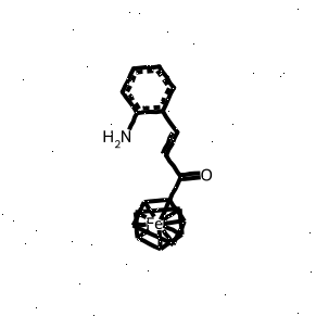 Nc1ccccc1C=CC(=O)[C]12[CH]3[CH]4[CH]5[CH]1[Fe]45321678[CH]2[CH]1[CH]6[CH]7[CH]28